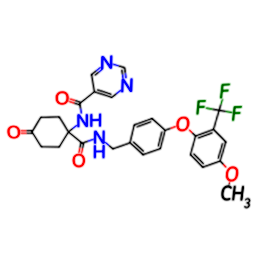 COc1ccc(Oc2ccc(CNC(=O)C3(NC(=O)c4cncnc4)CCC(=O)CC3)cc2)c(C(F)(F)F)c1